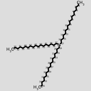 CCCCCCCCCCCCCCCCCCN(CCCCCCCCCCCCCCCCCC)CCCCCCCCCCCCCCCCCC